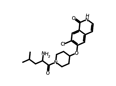 CC(C)CC(N)C(=O)N1CCC(Oc2cc3cc[nH]c(=O)c3cc2Cl)CC1